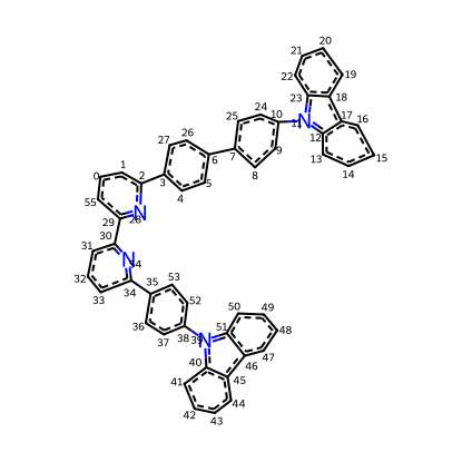 c1cc(-c2ccc(-c3ccc(-n4c5ccccc5c5ccccc54)cc3)cc2)nc(-c2cccc(-c3ccc(-n4c5ccccc5c5ccccc54)cc3)n2)c1